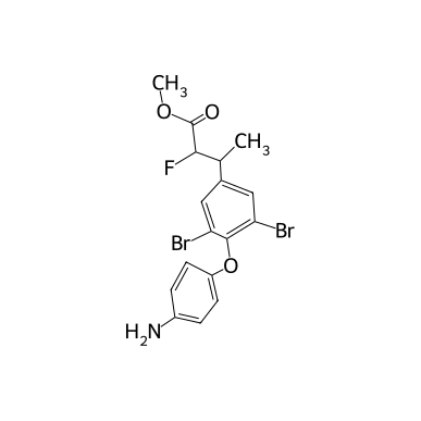 COC(=O)C(F)C(C)c1cc(Br)c(Oc2ccc(N)cc2)c(Br)c1